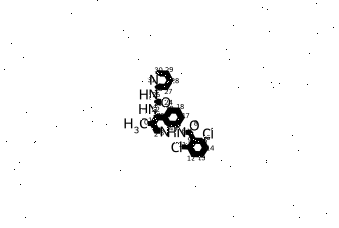 Cc1cnc2c(NC(=O)c3c(Cl)cccc3Cl)cccc2c1NC(=O)Nc1ccccn1